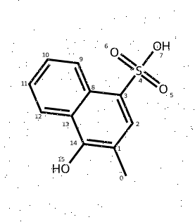 Cc1cc(S(=O)(=O)O)c2ccccc2c1O